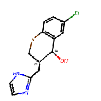 O[C@@H]1c2cc(Cl)ccc2SC[C@@H]1Cc1ncc[nH]1